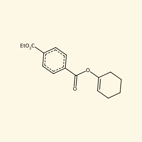 CCOC(=O)c1ccc(C(=O)OC2=CCCCC2)cc1